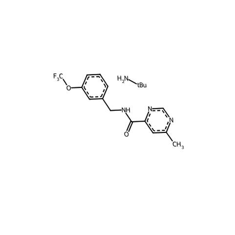 CC(C)(C)N.Cc1cc(C(=O)NCc2cccc(OC(F)(F)F)c2)ncn1